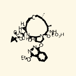 CCOc1nnc(O[C@@H]2C[C@H]3C(=O)N[C@]4(C(=O)NS(=O)(=O)C5(C)CC5)C[C@H]4/C=C\CC[C@H](C)C[C@@H](C)[C@H](NC(=O)O)C(=O)N3C2)c2ccccc12